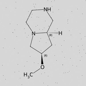 CO[C@@H]1C[C@@H]2CNCCN2C1